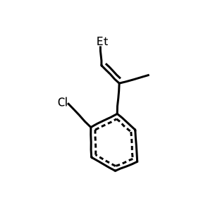 [CH2]CC=C(C)c1ccccc1Cl